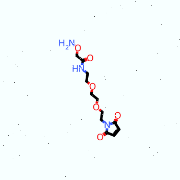 NOCC(=O)NCCOCCOCCN1C(=O)C=CC1=O